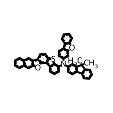 CC1(C)c2ccccc2-c2ccc(N(c3ccc4c(c3)oc3ccccc34)c3cccc4c3sc3ccc5c6cc7ccccc7cc6oc5c34)cc21